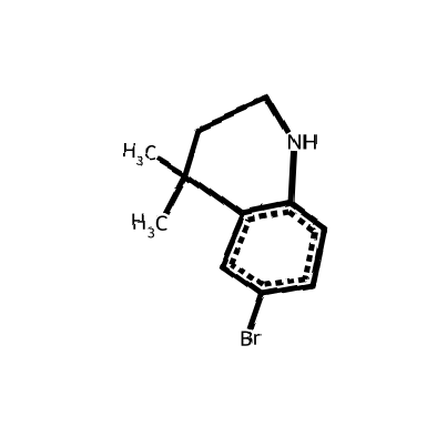 CC1(C)CCNc2ccc(Br)cc21